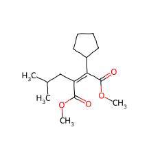 COC(=O)/C(CC(C)C)=C(\C(=O)OC)C1CCCC1